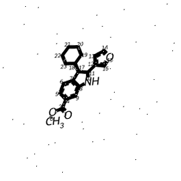 COC(=O)c1ccc2c(c1)NC(c1ccoc1)C2C1CCCCC1